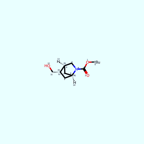 CC(C)(C)OC(=O)N1C[C@H]2C[C@@H]1C[C@@H]2CO